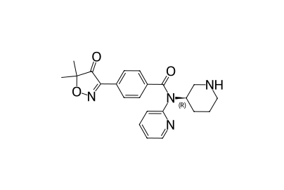 CC1(C)ON=C(c2ccc(C(=O)N(c3ccccn3)[C@@H]3CCCNC3)cc2)C1=O